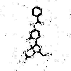 CC(=O)OC1C(CO)OC(n2ccc(NC(=O)c3ccccc3)nc2=O)C1(F)F